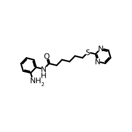 Nc1ccccc1NC(=O)CCCCCSc1ncccn1